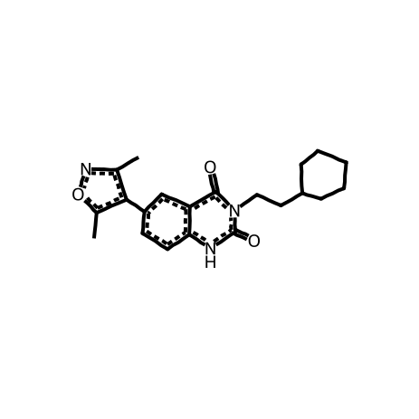 Cc1noc(C)c1-c1ccc2[nH]c(=O)n(CCC3CCCCC3)c(=O)c2c1